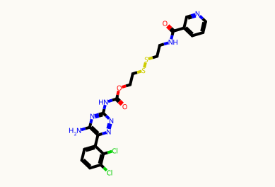 Nc1nc(NC(=O)OCCSSCCNC(=O)c2cccnc2)nnc1-c1cccc(Cl)c1Cl